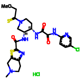 COCC(=S)N1CC[C@H](NC(=O)C(=O)Nc2ccc(Cl)cn2)[C@H](NC(=O)c2nc3c(s2)CN(C)CC3)C1.Cl